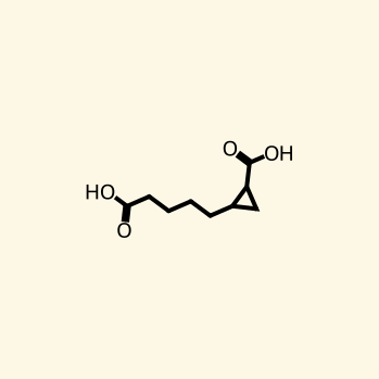 O=C(O)CCCCC1CC1C(=O)O